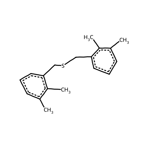 Cc1cccc(CSCc2cccc(C)c2C)c1C